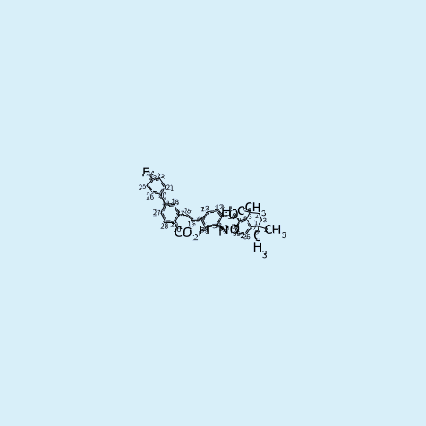 CC1(C)CCC(C)(C)c2c(Oc3ccc(/C=C/c4cc(-c5ccc(F)cc5)ccc4C(=O)O)cc3[N+](=O)[O-])cccc21